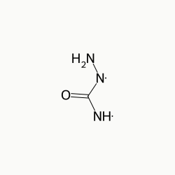 [NH]C(=O)[N]N